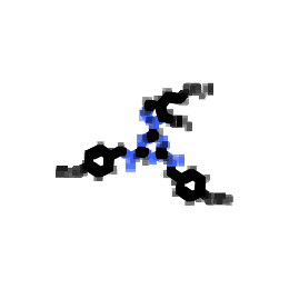 COc1ccc(CNc2nc(NCc3ccc(OC)cc3)nc(-n3ncc(C=CC(=O)O)c3C)n2)cc1